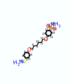 NSc1ccc(OCCCCCCOc2ccc(S(N)(=O)=O)cc2)cc1